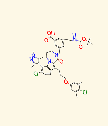 Cc1cc(OCCCc2c3n(c4c(-c5c(C)nn(C)c5C)c(Cl)ccc24)CCCN(Cc2cc(CCNC(=O)OC(C)(C)C)cc(C(=O)O)c2)C3=O)cc(C)c1Cl